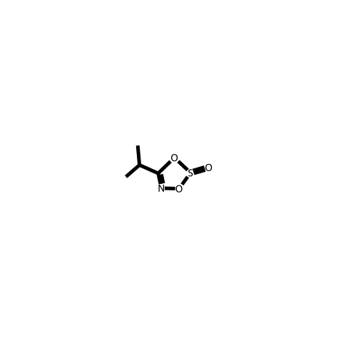 CC(C)C1=NOS(=O)O1